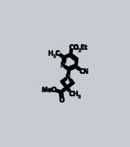 CCOC(=O)c1cc(C#N)c(N2CC(C)(C(=O)OC)C2)nc1C